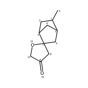 CC1CC2CC1CC21CC(=O)CO1